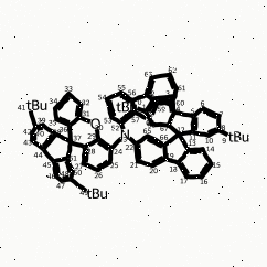 CC(C)(C)C1=CC=C2c3ccc(C(C)(C)C)cc3C3(c4ccccc4-c4ccc(N(c5cccc6c5Oc5ccccc5C65c6cc(C(C)(C)C)ccc6-c6ccc(C(C)(C)C)cc65)c5cccc6c5sc5ccccc56)cc43)C2C1